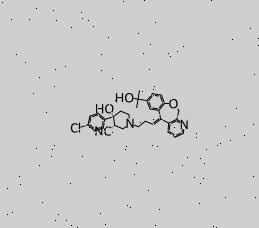 CC(C)(O)c1ccc2c(c1)C(=CCCN1CC[C@](O)(c3ccc(Cl)cc3)[C@@H](C#N)C1)c1cccnc1CO2